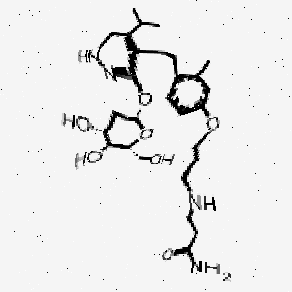 Cc1cc(OCCCNCCC(N)=O)ccc1CC1=C(C(C)C)CNN=C1O[C@H]1C[C@@H](O)[C@H](O)[C@@H](CO)O1